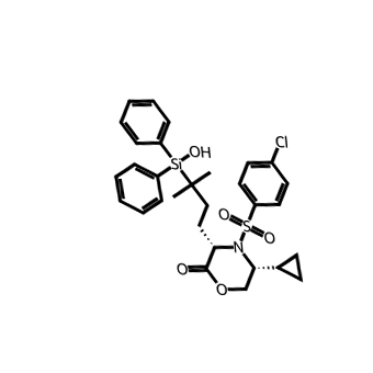 CC(C)(CC[C@H]1C(=O)OC[C@@H](C2CC2)N1S(=O)(=O)c1ccc(Cl)cc1)[Si](O)(c1ccccc1)c1ccccc1